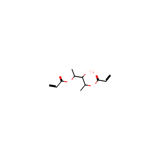 C=CC(=O)OC(C)[C](O)C(C)OC(=O)C=C